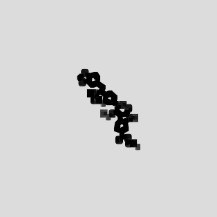 CNC(Cc1ccc2c(c1)OCO2)c1ccc(NC(C)=C2C(=O)Nc3cc(C(=O)OC)ccc32)cc1